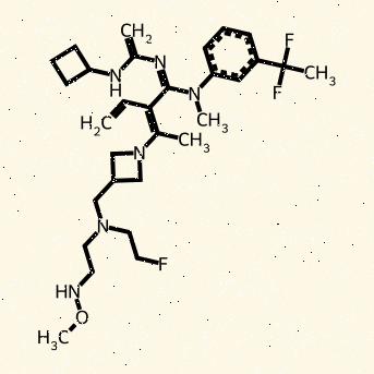 C=CC(/C(=N\C(=C)NC1CCC1)N(C)c1cccc(C(C)(F)F)c1)=C(/C)N1CC(CN(CCF)CCNOC)C1